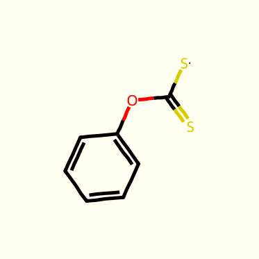 [S]C(=S)Oc1ccccc1